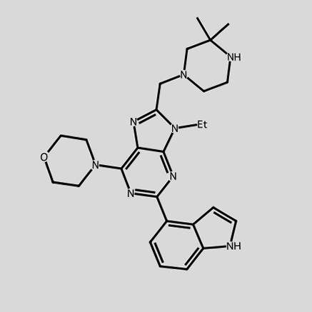 CCn1c(CN2CCNC(C)(C)C2)nc2c(N3CCOCC3)nc(-c3cccc4[nH]ccc34)nc21